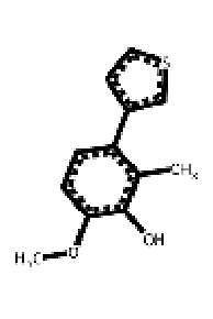 COc1ccc(-c2ccsc2)c(C)c1O